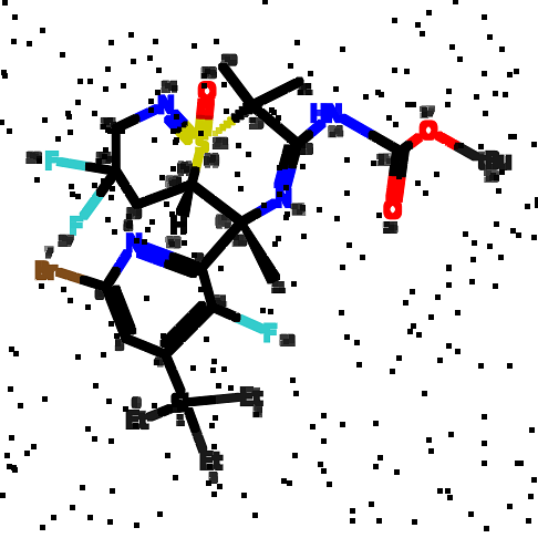 CC[Si](CC)(CC)c1cc(Br)nc([C@@]2(C)N=C(NC(=O)OC(C)(C)C)C(C)(C)[S@@]3(=O)=NCC(F)(F)C[C@@H]23)c1F